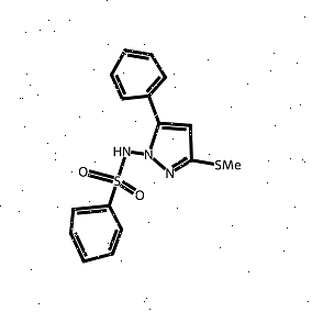 CSc1cc(-c2ccccc2)n(NS(=O)(=O)c2ccccc2)n1